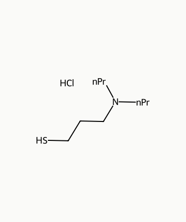 CCCN(CCC)CCCS.Cl